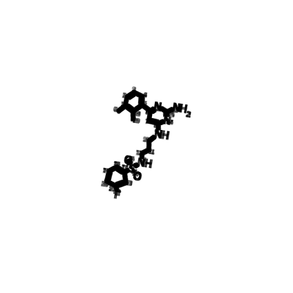 Cc1cccc(-c2cc(NCCCNS(=O)(=O)c3cccc(F)c3)nc(N)n2)c1C